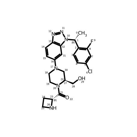 C[C@H](c1ccc(Cl)cc1F)n1nnc2ccc(N3CCN(C(=O)[C@H]4CCN4)[C@H](CO)C3)cc21